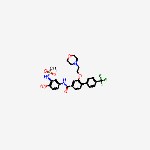 CS(=O)(=O)Nc1cc(NC(=O)c2ccc(-c3ccc(C(F)(F)F)cc3)c(OCCN3CCOCC3)c2)ccc1O